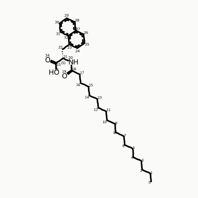 CCCCCCCCCCCCCCCCCCC(=O)N[C@@H](Cc1cccc2ccccc12)C(=O)O